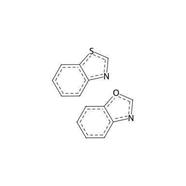 c1ccc2ocnc2c1.c1ccc2scnc2c1